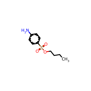 CCCCOS(=O)(=O)c1ccc(N)cc1